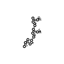 CC1(C)c2cc(-c3ccc4sc5c(ccc6c7ccc(-c8ccc9sc%10c(ccc%11c%12ccccc%12n(-c%12ccc%13ncoc%13c%12)c%11%10)c9c8)cc7n(-c7ccc8ncsc8c7)c65)c4c3)ccc2-c2c(-n3c4ccccc4c4ccc5c6ccccc6sc5c43)cccc21